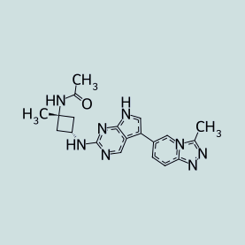 CC(=O)N[C@]1(C)C[C@H](Nc2ncc3c(-c4ccc5nnc(C)n5c4)c[nH]c3n2)C1